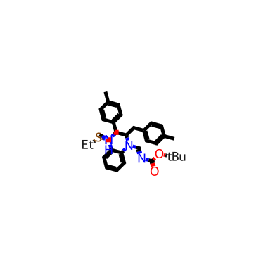 CCSNCC(Cc1ccc(C)cc1)N(C=NC(=O)OC(C)(C)C)c1ccccc1N(C)Cc1ccc(C)cc1